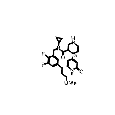 COCCCc1cc(F)c(F)c(CN(C(=O)C2CNCC[C@@H]2c2ccn(C)c(=O)c2)C2CC2)c1